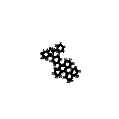 C1=CC2N=C(c3ccccc3)N(c3ccc(-c4c5ccccc5c(-c5cccc6ccccc56)c5ccccc45)cc3)C2C=C1